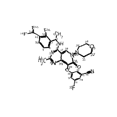 Cc1nc(N[C@H](C)c2cccc(C(F)F)c2F)c2cn(N3CCOCC3)c(=O)c(Oc3cc(F)cc(C#N)c3)c2n1